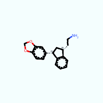 NCC[C@H]1C[C@@H](c2ccc3c(c2)OCO3)c2ccccc21